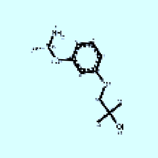 C[C@H](N)Oc1cccc(OCC(C)(C)O)c1